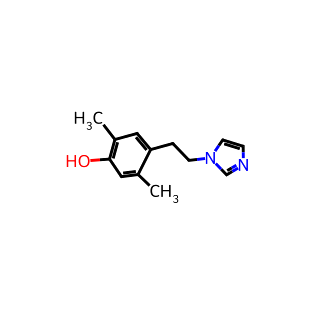 Cc1cc(CCn2ccnc2)c(C)cc1O